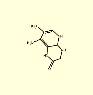 NC1=C2NC(=O)CNC2NC=C1C(=O)O